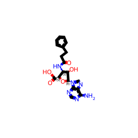 Nc1ncnc2c1ncn2[C@@H]1O[C@H](C(=O)O)[C@@H](NC(=O)CCc2ccccc2)[C@H]1O